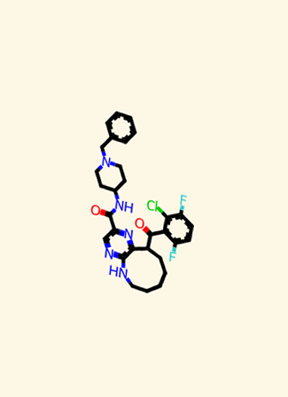 O=C(NC1CCN(Cc2ccccc2)CC1)c1cnc2c(n1)C(C(=O)c1c(F)ccc(F)c1Cl)CCCCCN2